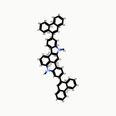 CN1c2cc(-c3cc4ccccc4c4ccccc34)ccc2-c2cc3c(c4cccc1c24)c1ccc(-c2cc4ccccc4c4ccccc24)cc1n3C